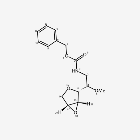 COC(CNC(=O)OCc1ccccc1)[C@H]1OC[C@H]2O[C@@H]12